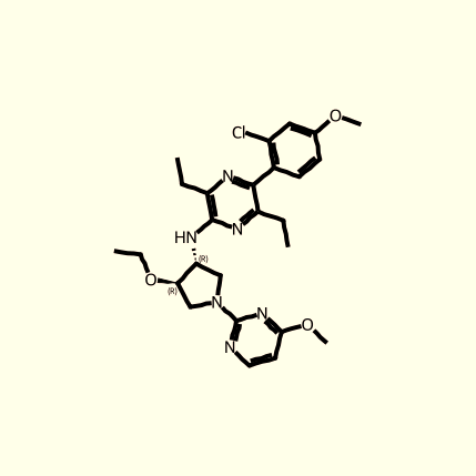 CCO[C@@H]1CN(c2nccc(OC)n2)C[C@H]1Nc1nc(CC)c(-c2ccc(OC)cc2Cl)nc1CC